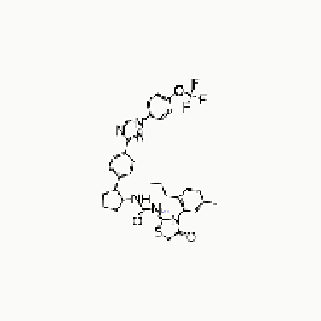 CCCc1ccc(C)cc1N1C(=O)CS/C1=N\C(=O)NC1CCCC1c1ccc(-c2ncn(-c3ccc(OC(F)(F)F)cc3)n2)cc1